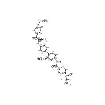 CC(C)(N)C(=O)N1CCN(C(=O)Nc2ccn(-c3ccc(C[C@H](N)C(=O)N4CC5C(CN)C5C4)cc3)c(=O)n2)CC1.Cl